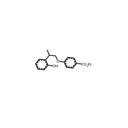 CCOC(=O)c1ccc(OCC(C)c2ccccc2O)cc1